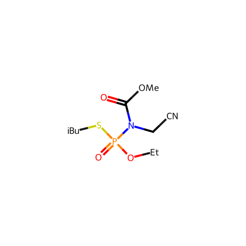 CCOP(=O)(SC(C)CC)N(CC#N)C(=O)OC